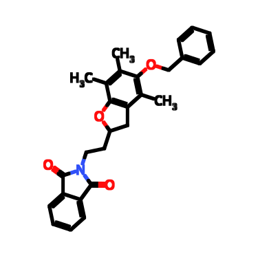 Cc1c(C)c2c(c(C)c1OCc1ccccc1)CC(CCN1C(=O)c3ccccc3C1=O)O2